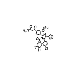 CC(C)(C)Oc1cc(C(=O)CC(N)=O)ccc1C1=N[C@@H](c2ccns2)[C@@H](c2ccc(Cl)cc2)N1C(=O)N1CCNC(=O)C1